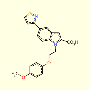 O=C(O)c1cc2cc(-c3ccsn3)ccc2n1CCOc1ccc(OC(F)(F)F)cc1